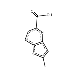 Cc1cc2nc(C(=O)O)ccc2s1